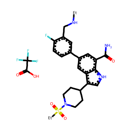 CCNCc1cc(-c2cc(C(N)=O)c3[nH]cc(C4CCN(S(=O)(=O)CC)CC4)c3c2)ccc1F.O=C(O)C(F)(F)F